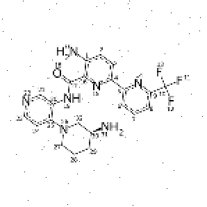 Nc1ccc(-c2cccc(C(F)(F)F)n2)nc1C(=O)Nc1cnccc1N1CCC[C@H](N)C1